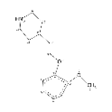 COc1ccccc1OCCC1CCNCC1